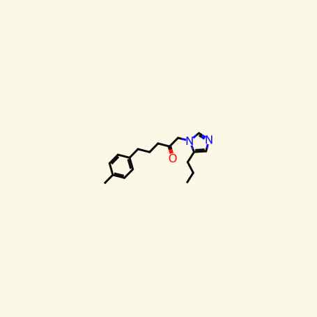 CCCc1cncn1CC(=O)CCCc1ccc(C)cc1